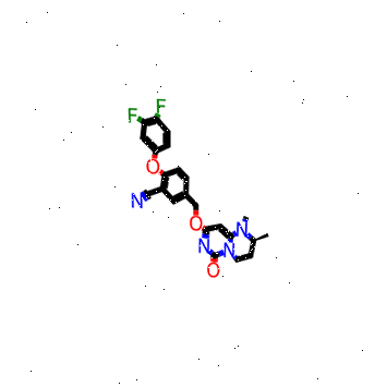 C[C@H]1CCn2c(cc(OCc3ccc(Oc4ccc(F)c(F)c4)c(C#N)c3)nc2=O)N1C